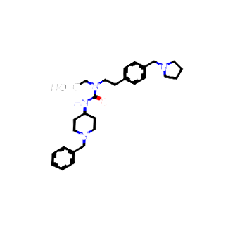 O=C(O)CN(CCc1ccc(CN2CCCC2)cc1)C(=O)NC1CCN(Cc2ccccc2)CC1